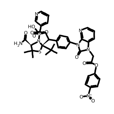 CC1(C)S[C@@](C(CC(=O)O)c2ccc(-n3c(=O)n(CC(=O)Oc4ccc([N+](=O)[O-])cc4)c4cccnc43)cc2)(C(C)(C)C)N(S(=O)(=O)c2cccnc2)[C@@H]1C(N)=O